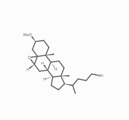 CO[C@H]1CC[C@]2(C)[C@H]3CC[C@]4(C)[C@@H](C(C)CCCC(C)C)CC[C@H]4[C@@H]3C[C@@H]3OC32C1